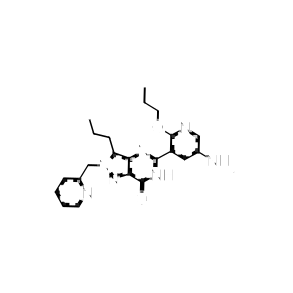 CCCOc1ncc(N)cc1-c1nc2c(CCC)n(Cc3ccccn3)nc2c(=O)[nH]1